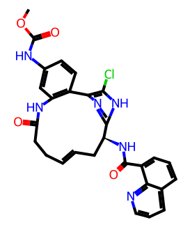 COC(=O)Nc1ccc2c(c1)NC(=O)CC/C=C/C[C@H](NC(=O)c1cccc3cccnc13)c1nc-2c(Cl)[nH]1